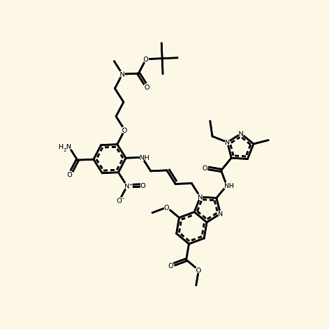 CCn1nc(C)cc1C(=O)Nc1nc2cc(C(=O)OC)cc(OC)c2n1C/C=C/CNc1c(OCCCN(C)C(=O)OC(C)(C)C)cc(C(N)=O)cc1[N+](=O)[O-]